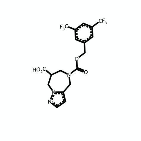 O=C(O)C1CN(C(=O)OCc2cc(C(F)(F)F)cc(C(F)(F)F)c2)Cc2ccnn2C1